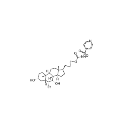 CC[C@H]1[C@@H](O)[C@@H]2[C@H](CC[C@]3(C)[C@@H](CCCOC(=O)NS(=O)(=O)c4ccncc4)CC[C@@H]23)[C@@]2(C)CC[C@@H](O)C[C@@H]12